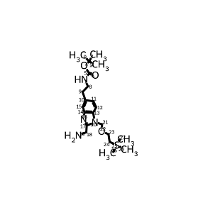 CC(C)(C)OC(=O)NCCc1ccc2c(c1)nc(CN)n2COCCS(C)(C)C